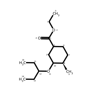 CCOC(=O)C1CC[C@@H](C)C(OC(CC)CC)C1